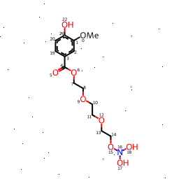 COc1cc(C(=O)OCCOCCOCCON(O)O)ccc1O